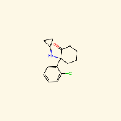 O=C1CCCCC1(NC1CC1)c1ccccc1Cl